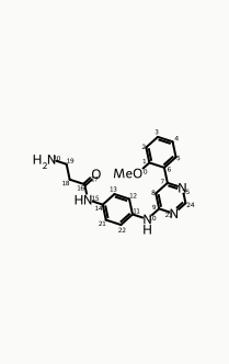 COc1ccccc1-c1cc(Nc2ccc(NC(=O)CCN)cc2)ncn1